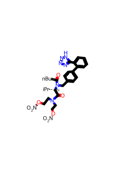 CCCCC(=O)N(Cc1ccc(-c2ccccc2-c2nnn[nH]2)cc1)[C@H](C(=O)N(CCO[N+](=O)[O-])CCO[N+](=O)[O-])C(C)C